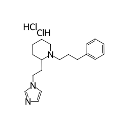 Cl.Cl.c1ccc(CCCN2CCCCC2CCn2ccnc2)cc1